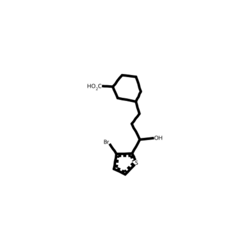 O=C(O)C1CCCC(CCC(O)c2sccc2Br)C1